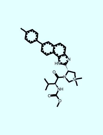 COC(=O)N[C@H](C(=O)N1C[Si](C)(C)C[C@H]1c1nc2ccc3cc(-c4ccc(C)cc4)ccc3c2[nH]1)C(C)C